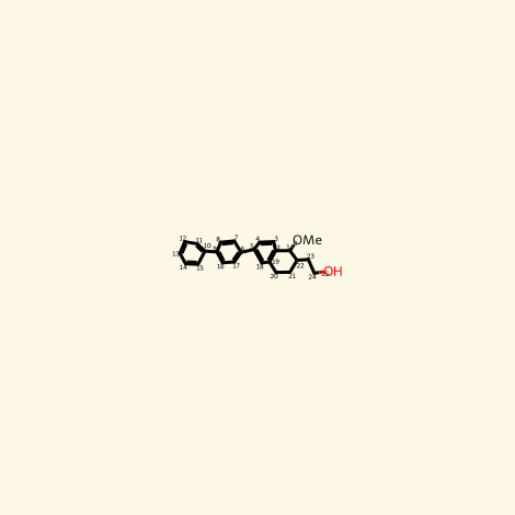 COC1c2ccc(-c3ccc(-c4ccccc4)cc3)cc2CCC1CCO